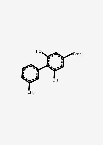 CCCCCc1cc(O)c(-c2cccc(C)c2)c(O)c1